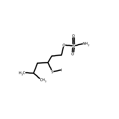 CC(C)CC(CCOS(N)(=O)=O)SI